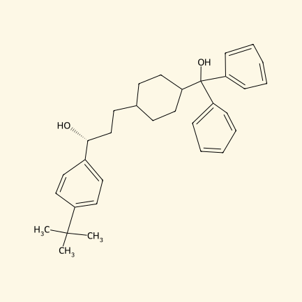 CC(C)(C)c1ccc([C@H](O)CCC2CCC(C(O)(c3ccccc3)c3ccccc3)CC2)cc1